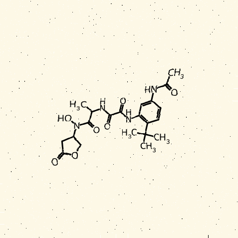 CC(=O)Nc1ccc(C(C)(C)C)c(NC(=O)C(=O)NC(C)C(=O)N(O)C2COC(=O)C2)c1